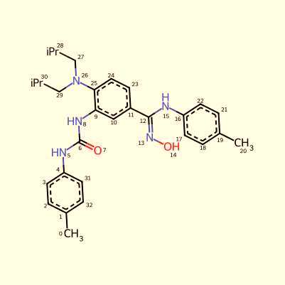 Cc1ccc(NC(=O)Nc2cc(C(=NO)Nc3ccc(C)cc3)ccc2N(CC(C)C)CC(C)C)cc1